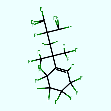 FC1=C(C(C(F)(F)F)(C(F)(F)F)C(F)(F)C(F)(C(F)(F)F)C(F)(F)F)C(F)(F)C(F)(F)C(F)(F)C1(F)F